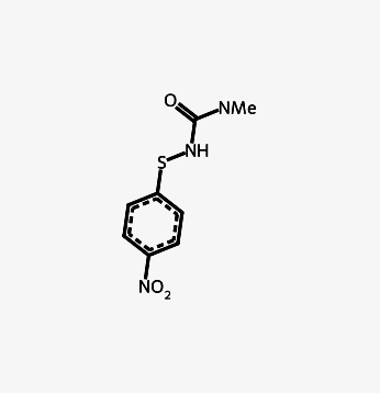 CNC(=O)NSc1ccc([N+](=O)[O-])cc1